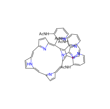 CC(=O)Nc1cccnc1-c1c(-c2ncccc2NC(C)=O)c2c(-c3ncccc3NC(C)=O)c3nc(cc4ccc(cc5nc(cc1n2-c1ncccc1NC(C)=O)C=C5)[nH]4)C=C3